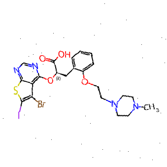 CN1CCN(CCOc2ccccc2C[C@@H](Oc2ncnc3sc(I)c(Br)c23)C(=O)O)CC1